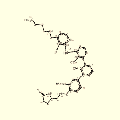 COc1nc(-c2ccnc(-c3cccc(Nc4nccc(CNCCCC(=O)O)c4F)c3Cl)c2Cl)ccc1CNC[C@H]1CCC(=O)N1